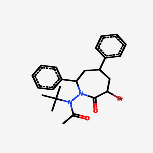 CC(=O)N(N1C(=O)C(Br)CC(c2ccccc2)CC1c1ccccc1)C(C)(C)C